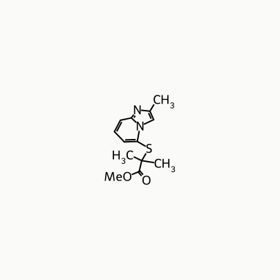 COC(=O)C(C)(C)Sc1cccc2nc(C)cn12